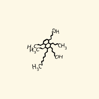 CCCCCC=CCC1C(CCCCO)C(CCCC)C2C(CCCCO)C=CC(CCC)C2C1CCC